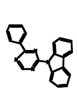 c1ccc(-c2ncnc(-n3c4ccccc4c4ccccc43)n2)cc1